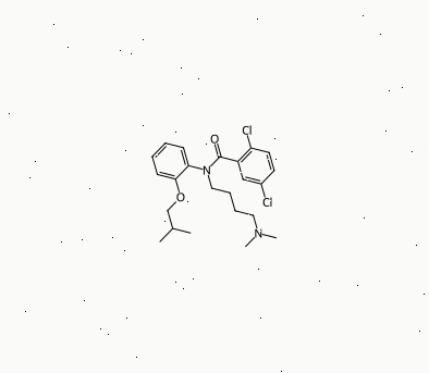 CC(C)COc1ccccc1N(CCCCN(C)C)C(=O)c1cc(Cl)ccc1Cl